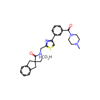 CN1CCN(C(=O)c2cccc(-c3csc(CNC(=O)C4(CC(=O)O)Cc5ccccc5C4)n3)c2)CC1